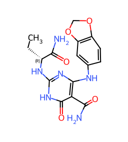 CC[C@@H](Nc1nc(Nc2ccc3c(c2)OCO3)c(C(N)=O)c(=O)[nH]1)C(N)=O